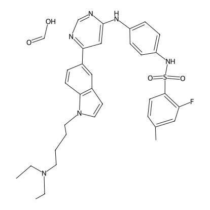 CCN(CC)CCCCn1ccc2cc(-c3cc(Nc4ccc(NS(=O)(=O)c5ccc(C)cc5F)cc4)ncn3)ccc21.O=CO